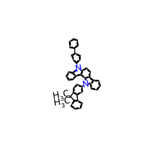 CC1(C)c2ccccc2-c2cc(-n3c4ccccc4c4ccc5c(c6ccccc6n5-c5ccc(-c6ccccc6)cc5)c43)ccc21